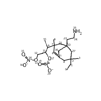 CCC1(C)CC2=CC(C)(C(C)C(CO[N+](=O)[O-])O[N+](=O)[O-])CC(CCN)(C2)C1